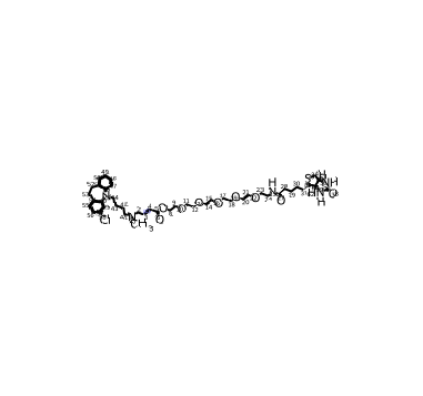 CN(C/C=C/C(=O)OCCOCCOCCOCCOCCOCCNC(=O)CCCC[C@@H]1SC[C@@H]2NC(=O)N[C@@H]21)CCCCN1c2ccccc2CCc2ccc(Cl)cc21